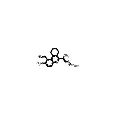 CCCC(C)N/C=C(\N)c1nc2ccc(N)c(C=N)c2c2c1CCCC2